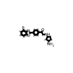 N[C@H]1CC[C@@H](NCC(=O)c2ccc(-c3nc4c(F)cccc4o3)cc2)C1